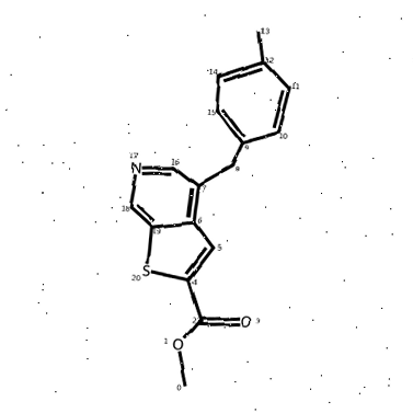 COC(=O)c1cc2c(Cc3ccc(C)cc3)cncc2s1